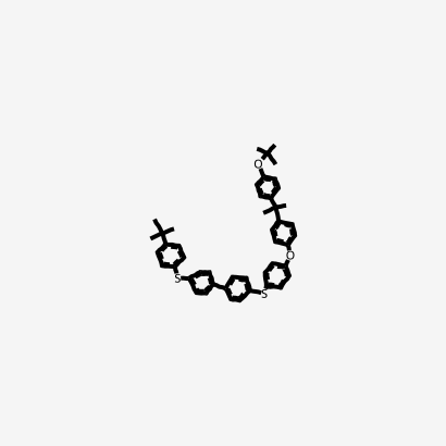 CC(C)(C)Oc1ccc(C(C)(C)c2ccc(Oc3ccc(Sc4ccc(-c5ccc(Sc6ccc(C(C)(C)C)cc6)cc5)cc4)cc3)cc2)cc1